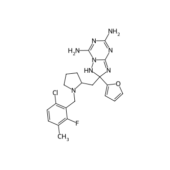 Cc1ccc(Cl)c(CN2CCCC2CC2(c3ccco3)N=C3N=C(N)N=C(N)N3N2)c1F